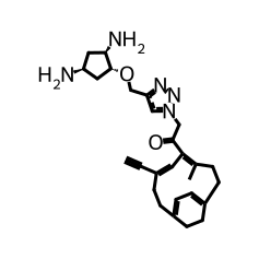 C#C/C1=C\C(C(=O)Cn2cc(CO[C@@H]3C[C@@H](N)C[C@H]3N)nn2)=C(/C)CCC2=CC=C(CC2)CC1